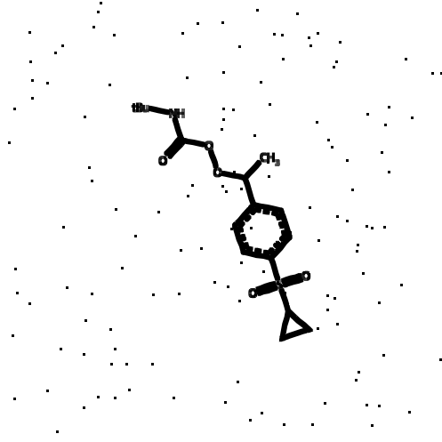 CC(OOC(=O)NC(C)(C)C)c1ccc(S(=O)(=O)C2CC2)cc1